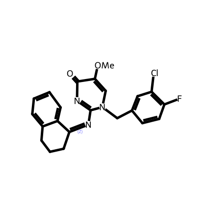 COc1cn(Cc2ccc(F)c(Cl)c2)c(/N=C2/CCCc3ccccc32)nc1=O